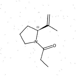 C=C(C)[C@@H]1CCCN1C(=O)CC